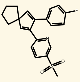 CS(=O)(=O)c1ccc(C2=CC3(C=C2c2ccc(F)cc2)CCCC3)nc1